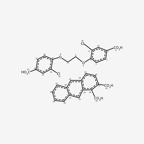 O=C(O)c1ccc(OCCOc2ccc(C(=O)O)cc2Cl)c(Cl)c1.O=C(O)c1ccc2cc3ccccc3cc2c1C(=O)O